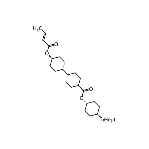 C/C=C/C(=O)O[C@H]1CC[C@H]([C@H]2CC[C@H](C(=O)O[C@H]3CC[C@H](CCCCCCC)CC3)CC2)CC1